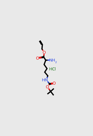 C=CCOC(=O)C(N)CCCCNC(=O)OC(C)(C)C.Cl